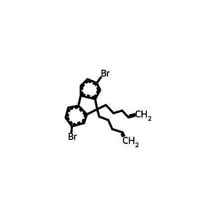 C=CCCCC1(CCCC=C)c2cc(Br)ccc2-c2ccc(Br)cc21